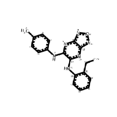 Cc1ccc(Nc2nc3nonc3nc2Nc2ccccc2CF)cc1